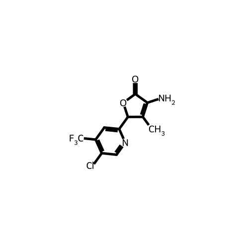 CC1=C(N)C(=O)OC1c1cc(C(F)(F)F)c(Cl)cn1